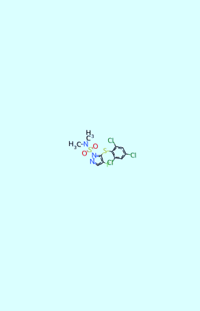 CN(C)S(=O)(=O)n1ncc(F)c1Sc1c(Cl)cc(Cl)cc1Cl